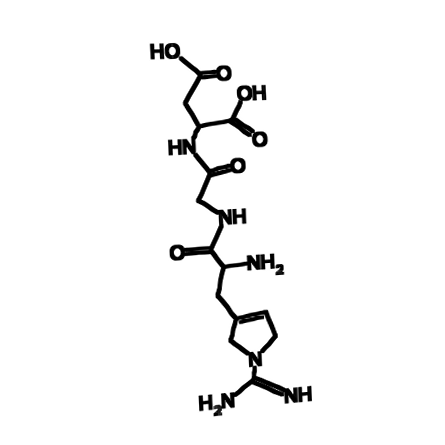 N=C(N)N1CC=C(CC(N)C(=O)NCC(=O)NC(CC(=O)O)C(=O)O)C1